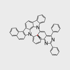 c1ccc(-c2nc(-c3ccccc3)c3cc(-n4c5ccccc5c5ccc6c7c8ccccc8ccc7n(-c7ccccc7)c6c54)ccc3n2)cc1